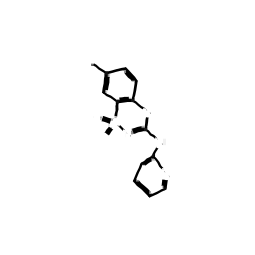 O=S1(=O)N=C(Nc2ccccn2)Nc2ccc(Cl)cc21